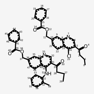 CCCC(=O)c1cnc2cc(COC(=O)c3ccccc3)ccc2c1Cl.CCCC(=O)c1cnc2cc(COC(=O)c3ccccc3)ccc2c1Nc1ccccc1C